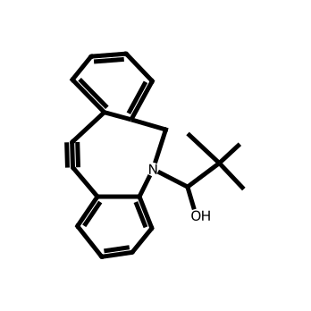 CC(C)(C)C(O)N1Cc2ccccc2C#Cc2ccccc21